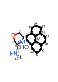 C1COCCN1.CCNC=O.c1cc2ccc3cccc4ccc(c1)c2c34